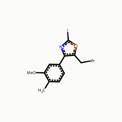 COc1cc(-c2nc(I)sc2CC(C)C)ccc1C